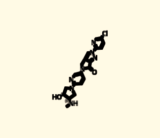 CN[C@@H]1CN(c2ccc(N3Cc4cn(-c5ccc(Cl)cn5)nc4C3=O)cn2)C[C@H]1O